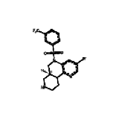 O=S(=O)(c1cccc(C(F)(F)F)c1)N1C[C@@H]2CNCCN2c2ncc(Br)cc21